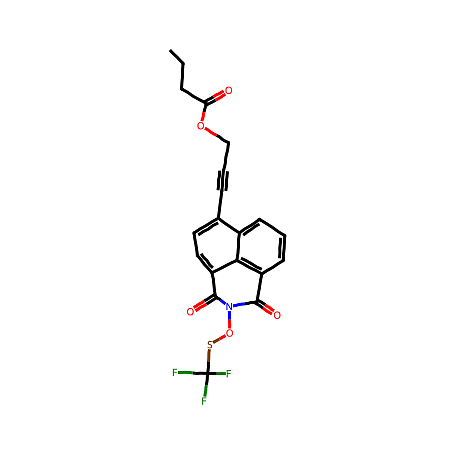 CCCC(=O)OCC#Cc1ccc2c3c(cccc13)C(=O)N(OSC(F)(F)F)C2=O